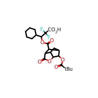 CC(C)(C)C(=O)OC1C2CC3C1OC(=O)C3C2C(=O)OC(C1CCCCC1)C(F)(F)C(=O)O